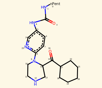 CCCCCNC(=O)Nc1ccc(N2CCNCC2C(=O)C2CCCCC2)nc1